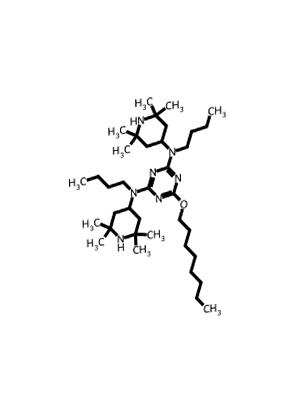 CCCCCCCCOc1nc(N(CCCC)C2CC(C)(C)NC(C)(C)C2)nc(N(CCCC)C2CC(C)(C)NC(C)(C)C2)n1